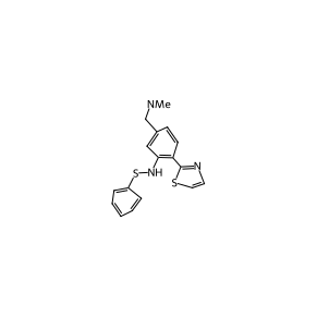 CNCc1ccc(-c2nccs2)c(NSc2ccccc2)c1